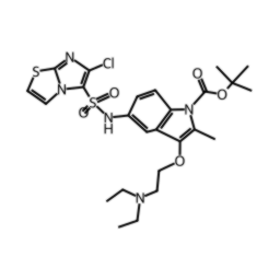 CCN(CC)CCOc1c(C)n(C(=O)OC(C)(C)C)c2ccc(NS(=O)(=O)c3c(Cl)nc4sccn34)cc12